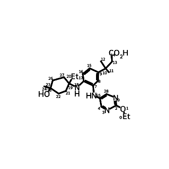 CCOc1ncc(Nc2cc(C(C)(C)CC(=O)O)ccc2NC2(CC)CCC(C)(O)CC2)cn1